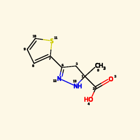 CC1(C(=O)O)CC(c2cccs2)=NN1